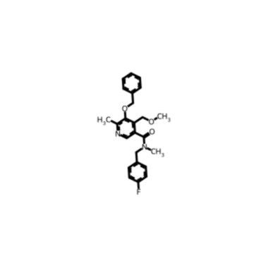 COCc1c(C(=O)N(C)Cc2ccc(F)cc2)cnc(C)c1OCc1ccccc1